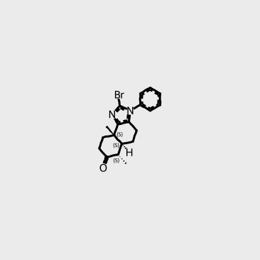 C[C@@H]1C(=O)CC[C@]2(C)c3nc(Br)n(-c4ccccc4)c3CC[C@@H]12